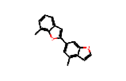 Cc1cc(-c2cc3cccc(C)c3o2)cc2occc12